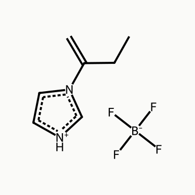 C=C(CC)n1cc[nH+]c1.F[B-](F)(F)F